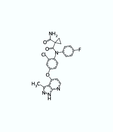 Cc1n[nH]c2nccc(Oc3ccc(N(C(=O)C4(C(N)=O)CC4)c4ccc(F)cc4)c(Cl)c3)c12